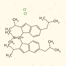 CC(C)Cc1ccc2c(c1)C=C(C(C)C)[CH]2[Zr+2]([CH]1C(C(C)C)=Cc2cc(CC(C)C)ccc21)=[Si](C)C.[Cl-].[Cl-]